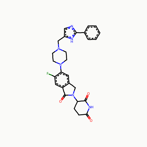 O=C1CCC(N2Cc3cc(N4CCN(Cc5cnc(-c6ccccc6)[nH]5)CC4)c(F)cc3C2=O)C(=O)N1